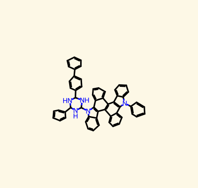 c1ccc(-c2ccc(C3NC(c4ccccc4)NC(n4c5ccccc5c5c6c7ccccc7c7c(c8ccccc8n7-c7ccccc7)c6c6ccccc6c54)N3)cc2)cc1